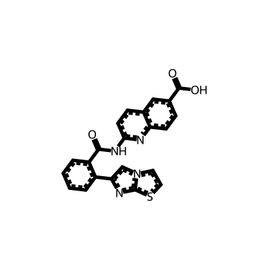 O=C(O)c1ccc2nc(NC(=O)c3ccccc3-c3cn4ccsc4n3)ccc2c1